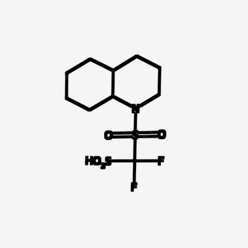 O=S(=O)(O)C(F)(F)S(=O)(=O)N1CCCC2CCCCC21